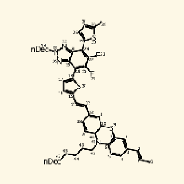 C/C=C/c1ccc2c(c1)SC1C=C(/C=C/c3ccc(-c4c(F)c(F)c(-c5ccc(C)s5)c5nn(CCCCCCCCCC)nc45)s3)C=CC1N2CCCCCCCCCCCCCC